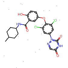 CC1CCC(NC(=O)c2cc(Oc3c(Cl)cc(-n4ncc(=O)[nH]c4=O)cc3Cl)ccc2O)CC1